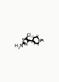 CN1CC=C(c2nc(N)sc2Cl)CC1